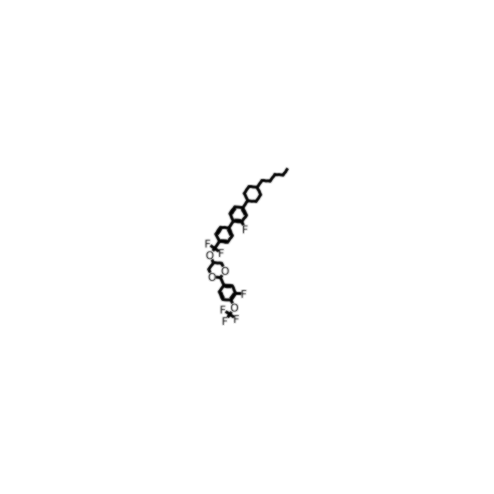 CCCCCC1CCC(c2ccc(-c3ccc(C(F)(F)OC4COC(c5ccc(OC(F)(F)F)c(F)c5)OC4)cc3)c(F)c2)CC1